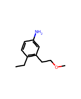 CCc1ccc(N)cc1CCOC